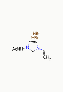 Br.Br.C=CN1C=CN(NC(C)=O)C1